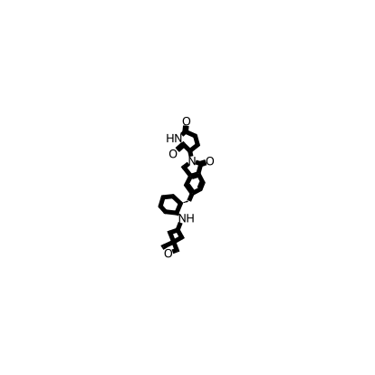 O=C1CCC(N2Cc3cc(C[C@H]4CCCC[C@@H]4NC4CC5(COC5)C4)ccc3C2=O)C(=O)N1